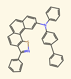 c1ccc(-c2ccc(N(c3ccccc3)c3ccc4ccc5ccc6c(-c7ccccc7)nsc6c5c4c3)cc2)cc1